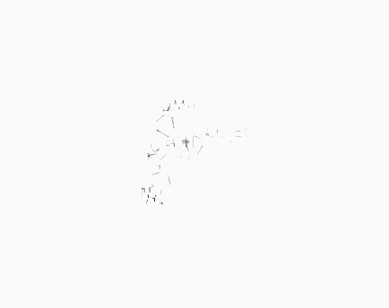 CCOC(=O)c1ccc(CC2=C(c3ccc4nonc4c3)C(=O)OC2(O)c2ccc(OC)cc2)cc1